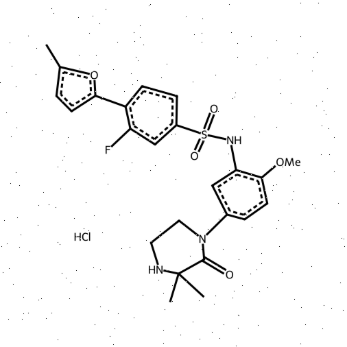 COc1ccc(N2CCNC(C)(C)C2=O)cc1NS(=O)(=O)c1ccc(-c2ccc(C)o2)c(F)c1.Cl